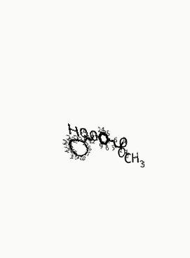 CCOC(=O)CCc1ccc(OC[C@H](O)C2CCCCCCCC2)cc1